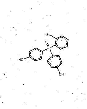 CC(C)(C)c1ccccc1P(=O)(c1ccc(O)cc1)c1ccc(O)cc1